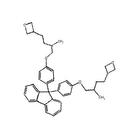 CC(CCC1COC1)COc1ccc(C2(c3ccc(OCC(C)CCC4COC4)cc3)c3ccccc3-c3ccccc32)cc1